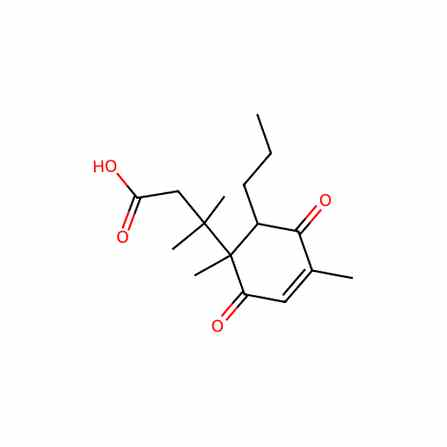 CCCC1C(=O)C(C)=CC(=O)C1(C)C(C)(C)CC(=O)O